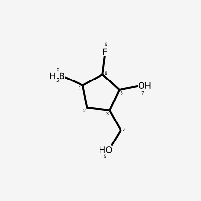 BC1CC(CO)C(O)C1F